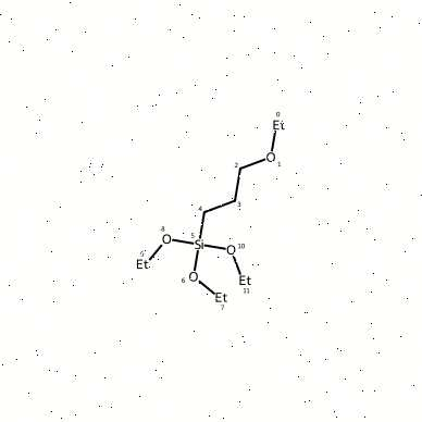 CCOCCC[Si](OCC)(OCC)OCC